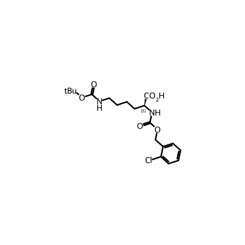 CC(C)(C)OC(=O)NCCCC[C@H](NC(=O)OCc1ccccc1Cl)C(=O)O